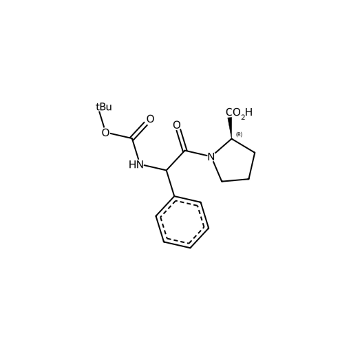 CC(C)(C)OC(=O)NC(C(=O)N1CCC[C@@H]1C(=O)O)c1ccccc1